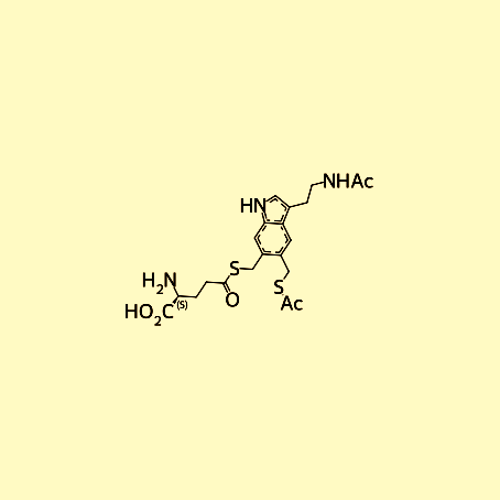 CC(=O)NCCc1c[nH]c2cc(CSC(=O)CC[C@H](N)C(=O)O)c(CSC(C)=O)cc12